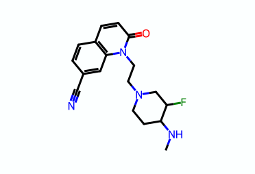 CNC1CCN(CCn2c(=O)ccc3ccc(C#N)cc32)CC1F